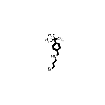 CC(C)(C)c1ccc(CNCCCBr)cc1